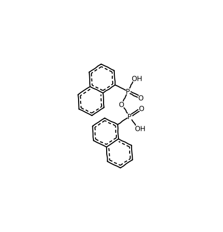 O=P(O)(OP(=O)(O)c1cccc2ccccc12)c1cccc2ccccc12